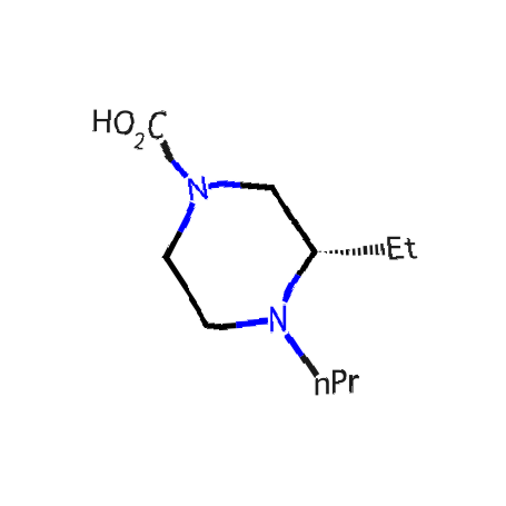 CCCN1CCN(C(=O)O)C[C@@H]1CC